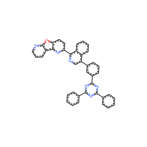 c1ccc(-c2nc(-c3ccccc3)nc(-c3cccc(-c4cnc(-c5ccc6oc7ncccc7c6n5)c5ccccc45)c3)n2)cc1